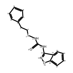 O=C(NSCCc1ccccc1)Nc1noc2ccccc12